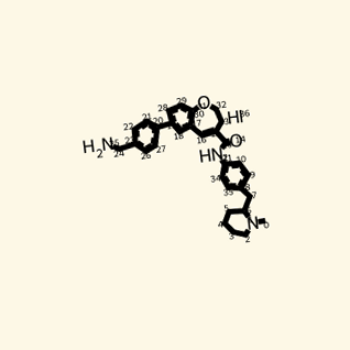 CN1CCCCC1Cc1ccc(NC(=O)C2=Cc3cc(-c4ccc(CN)cc4)ccc3OCC2)cc1.I